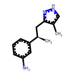 Cc1c[nH]nc1C[C@@H](C)c1cccc(N)c1